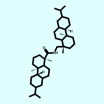 CC(C)C1CC[C@@H]2C(CCC3[C@@](C)(CNC(=O)[C@]4(C)CCC[C@@]5(C)C4CCC4CC(C(C)C)CC[C@@H]45)CCC[C@@]32C)C1